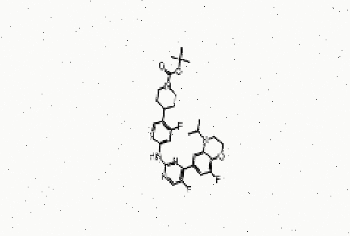 CC(C)N1CCOc2c(F)cc(-c3nc(Nc4cc(F)c(C5CCN(C(=O)OC(C)(C)C)CC5)cn4)ncc3F)cc21